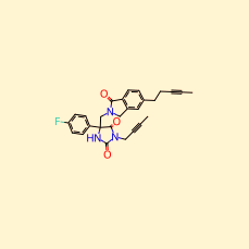 CC#CCCc1ccc2c(c1)CN(CC1(c3ccc(F)cc3)NC(=O)N(CC#CC)C1=O)C2=O